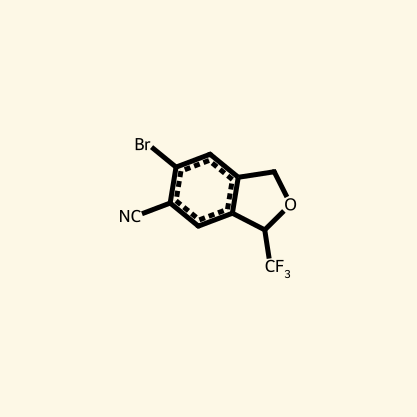 N#Cc1cc2c(cc1Br)COC2C(F)(F)F